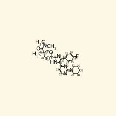 CN(C)C(=O)C1(C)COC(c2nc(-c3ccc(F)cc3)c(-c3ccnc(N4CCCCC4)n3)[nH]2)OC1